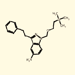 C[Si](C)(C)CCOCn1nc(CCc2ccccc2)c2cc(N)ccc21